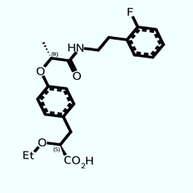 CCO[C@@H](Cc1ccc(O[C@H](C)C(=O)NCCc2ccccc2F)cc1)C(=O)O